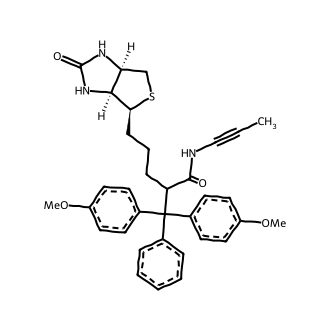 CC#CNC(=O)C(CCC[C@@H]1SC[C@@H]2NC(=O)N[C@@H]21)C(c1ccccc1)(c1ccc(OC)cc1)c1ccc(OC)cc1